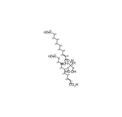 CCC(CO)(CO)CO.CCCCCCCCCCCCCCCCCC=CC(=O)O.CCCCCCCCCCCCCCCCCC=CC(=O)O